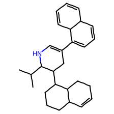 CC(C)C1NC=C(C2=CC=CC3C=CC=CC23)CC1C1CCCC2C=CCCC21